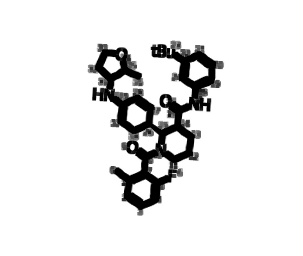 Cc1cccc(F)c1C(=O)N1CCCC(C(=O)Nc2cccc(C(C)(C)C)c2)C1[C@@H]1C=CC(NC2CCOC2C)=CC1